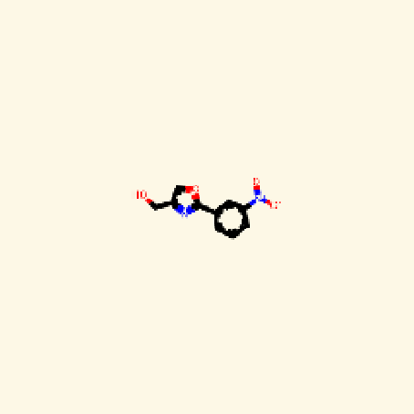 O=[N+]([O-])c1cccc(-c2nc(CO)co2)c1